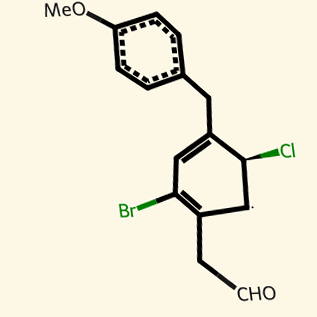 COc1ccc(CC2=CC(Br)=C(CC=O)[CH][C@@H]2Cl)cc1